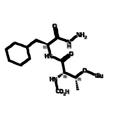 C[C@@H](OC(C)(C)C)[C@H](NC(=O)O)C(=O)N[C@@H](CC1CCCCC1)C(=O)NN